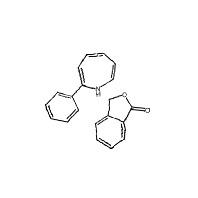 C1=CC=C(c2ccccc2)NC=C1.O=C1OCc2ccccc21